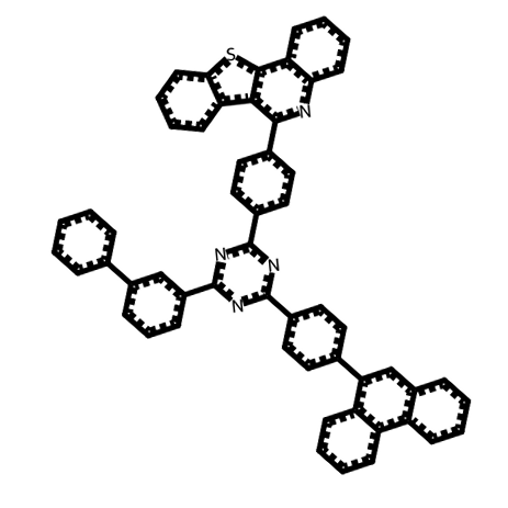 c1ccc(-c2cccc(-c3nc(-c4ccc(-c5cc6ccccc6c6ccccc56)cc4)nc(-c4ccc(-c5nc6ccccc6c6sc7ccccc7c56)cc4)n3)c2)cc1